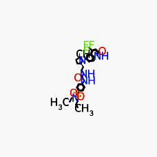 CCCN(CCC)S(=O)(=O)c1ccc(NC(=O)NCC[C@H]2CC[C@@H](C)N2c2ccc3[nH]c(=O)cc(C(F)(F)F)c3c2)cc1